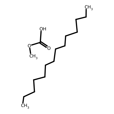 CCCCCCCCCCCCCC.COC(=O)O